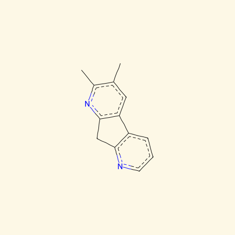 Cc1cc2c(nc1C)Cc1ncccc1-2